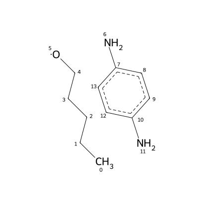 CCCCC[O].Nc1ccc(N)cc1